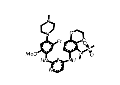 CCc1cc(Nc2nccc(Nc3ccc4c(c3N(C)S(C)(=O)=O)OCCO4)n2)c(OC)cc1N1CCN(C)CC1